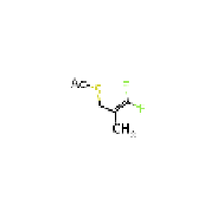 CC(=O)SCC(C)=C(F)F